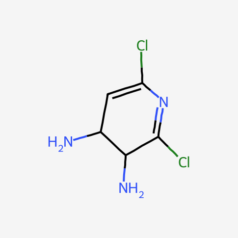 NC1C=C(Cl)N=C(Cl)C1N